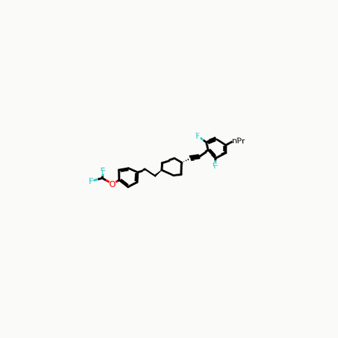 CCCc1cc(F)c(C#C[C@H]2CC[C@H](CCc3ccc(OC(F)F)cc3)CC2)c(F)c1